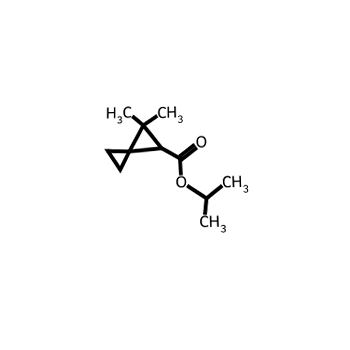 CC(C)OC(=O)C1C(C)(C)C12CC2